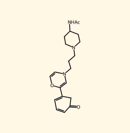 CC(=O)NC1CCN(CCCN2C=COC(C3=CC=CC(=O)C3)=C2)CC1